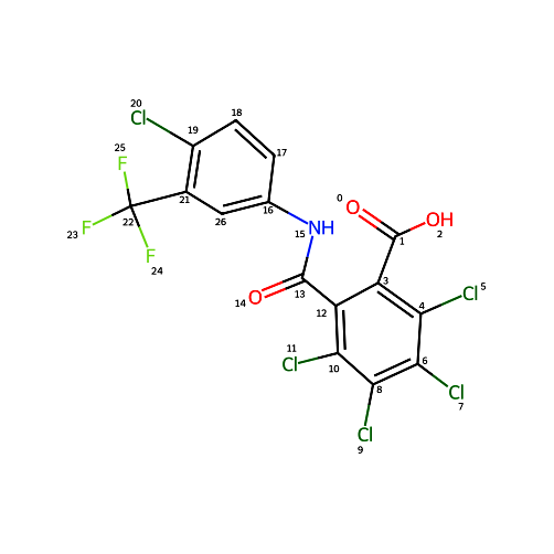 O=C(O)c1c(Cl)c(Cl)c(Cl)c(Cl)c1C(=O)Nc1ccc(Cl)c(C(F)(F)F)c1